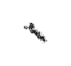 COCCCn1c(C2CCCN(C(=O)CC(N)Cc3ccc(-c4csc(C(C)C)n4)cc3)C2)nc2ccccc21